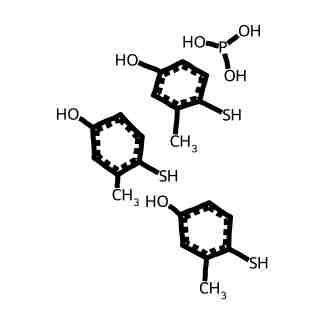 Cc1cc(O)ccc1S.Cc1cc(O)ccc1S.Cc1cc(O)ccc1S.OP(O)O